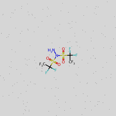 NN(S(=O)(=O)C(F)(F)C(F)(F)F)S(=O)(=O)C(F)(F)C(F)(F)F